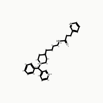 O=C(CCc1cccnc1)NCCCCC1CCN(C(c2ccccc2)c2cccnc2)CC1